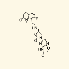 Cn1c(=O)ccc2ccc(F)c(CCNC[C@H]3CN(c4cnc5c(n4)NC(=O)CO5)C(=O)O3)c21